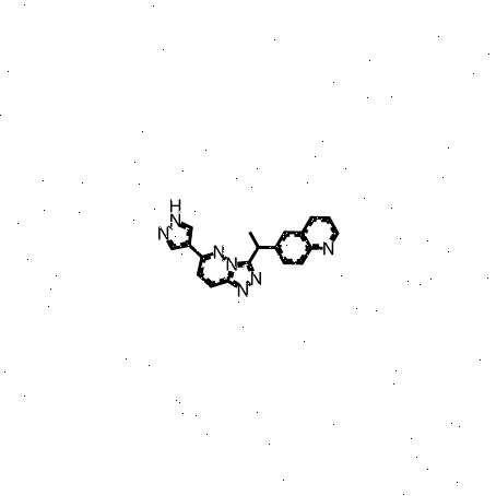 CC(c1ccc2ncccc2c1)c1nnc2ccc(-c3cn[nH]c3)nn12